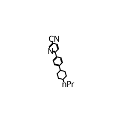 CCCC1CCC(c2ccc(-c3ccc(C#N)cn3)cc2)CC1